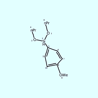 CCCO[SiH](OCCC)c1ccc(OC)cc1